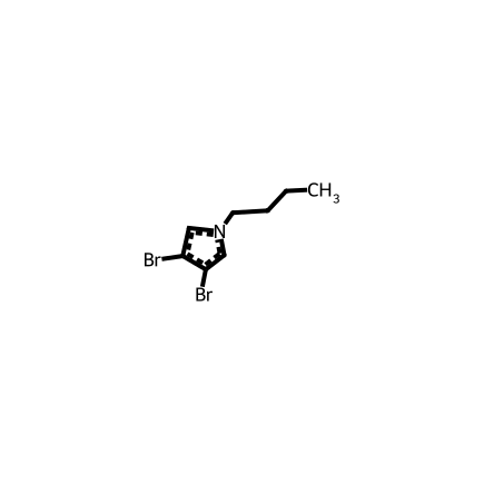 CCCCn1cc(Br)c(Br)c1